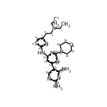 CCN(CC)CCc1csc(Nc2cc(-c3cnc(N)nc3N)nc(N3CCOCC3)n2)n1